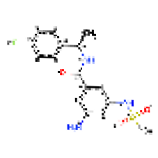 CCCCS(=O)(=O)Nc1cc(N)cc(C(=O)N[C@H](C)c2ccc(F)cc2)c1